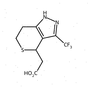 O=C(O)CC1SCCc2[nH]nc(C(F)(F)F)c21